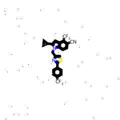 N#Cc1ccc2c(cc(C3CC3)n2Cc2csc(-c3ccc(C(F)(F)F)cc3)n2)c1C(F)(F)F